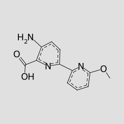 COc1cccc(-c2ccc(N)c(C(=O)O)n2)n1